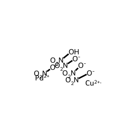 O=[N+]([O-])O.O=[N+]([O-])[O-].O=[N+]([O-])[O-].O=[N+]([O-])[O-].O=[N+]([O-])[O-].[Cu+2].[Pd+2]